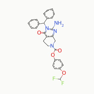 Nc1nc2c(c(=O)n1C(c1ccccc1)c1ccccc1)CCN(C(=O)Oc1ccc(OC(F)F)cc1)C2